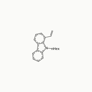 C=Cc1cccc2c3ccccc3n(CCCCCC)c12